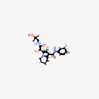 CC(C)(O)CNC(=O)C(=O)c1c(Cl)c(C(=O)Nc2ccc(F)c(F)c2)c2n1CCCC2